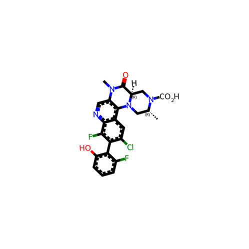 C[C@@H]1CN2c3c(cnc4c(F)c(-c5c(O)cccc5F)c(Cl)cc34)N(C)C(=O)[C@H]2CN1C(=O)O